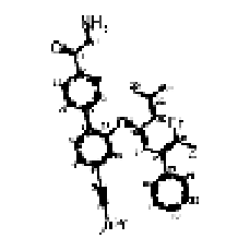 CCCC#Cc1ccc(-c2ccc(C(=O)CN)cc2)c(O/C(C=C(C)C)=C/C(=C(/C)CC)c2ccccc2)c1